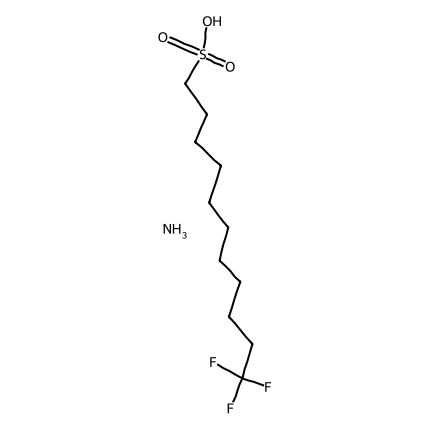 N.O=S(=O)(O)CCCCCCCCCCC(F)(F)F